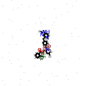 Cc1nc2c(Cc3ccc(S(=O)(=O)N(C)[C@H](COC(=O)c4ccccc4C(F)(F)F)CC(C)C)cc3)nccc2[nH]1